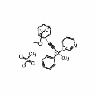 CO[C@]1(C#C[C@](O)(c2ccccc2)[C+]2C=NC=CC2)CN2CCC1CC2.O=S(=O)([O-])O